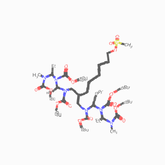 CCCC(N(CC(CCCCCCOS(C)(=O)=O)CN(C(=O)OC(C)(C)C)C(CCC)N(C(=O)OC(C)(C)C)C(CC)N(C)C(=O)OC(C)(C)C)C(=O)OC(C)(C)C)N(C(=O)OC(C)(C)C)C(CC)N(C)C(=O)OC(C)(C)C